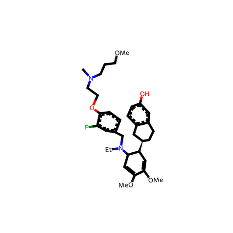 CCN(Cc1ccc(OCCN(C)CCCOC)c(F)c1)C1C=C(OC)C(OC)=CC1[C@@H]1CCc2cc(O)ccc2C1